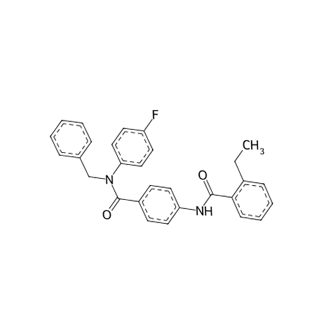 CCc1ccccc1C(=O)Nc1ccc(C(=O)N(Cc2ccccc2)c2ccc(F)cc2)cc1